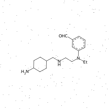 CCN(CCNCC1CCC(N)CC1)c1cccc(C=O)c1